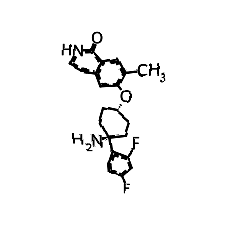 Cc1cc2c(=O)[nH]ccc2cc1O[C@H]1CC[C@@](N)(c2ccc(F)cc2F)CC1